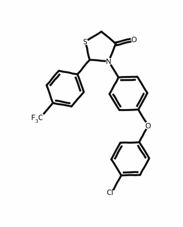 O=C1CSC(c2ccc(C(F)(F)F)cc2)N1c1ccc(Oc2ccc(Cl)cc2)cc1